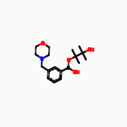 CC(C)(O)C(C)(C)OB(O)c1cccc(CN2CCOCC2)c1